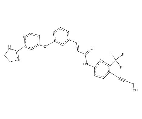 O=C(/C=C/c1cccc(Oc2ccnc(C3=NCCN3)c2)c1)Nc1ccc(C#CCO)c(C(F)(F)F)c1